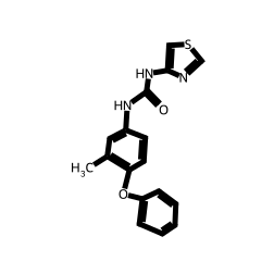 Cc1cc(NC(=O)Nc2cscn2)ccc1Oc1ccccc1